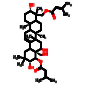 CC(C)=CC(=O)OC[C@]1(C)C2CC[C@]3(C)C(CC=C4C5CC(C)(C)[C@@H](O)[C@H](OC(=O)C=C(C)C)[C@]5(CO)[C@H](O)C[C@]43C)[C@@]2(C)CC[C@@H]1O